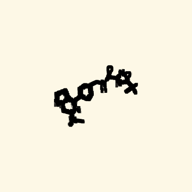 CN(C)c1cn2nccc2c(-c2ccc(CNC(=O)c3noc(C(C)(C)C)n3)cc2)n1